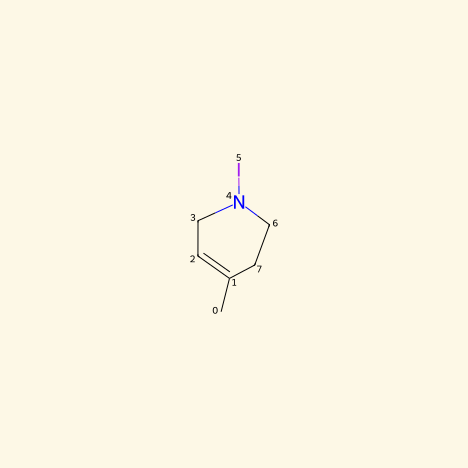 CC1=CCN(I)CC1